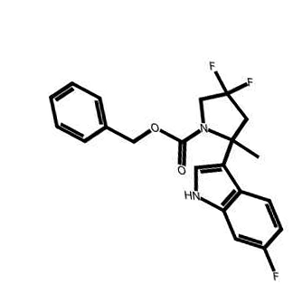 CC1(c2c[nH]c3cc(F)ccc23)CC(F)(F)CN1C(=O)OCc1ccccc1